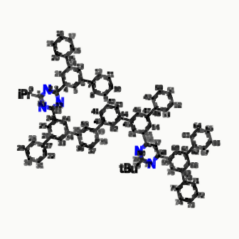 CC(C)c1nc(-c2cc(-c3ccccc3)cc(-c3ccccc3)c2)nc(-c2cc(-c3ccccc3)cc(-c3cccc(-c4cccc(-c5cc(-c6ccccc6)cc(-c6cc(-c7cc(-c8ccccc8)cc(-c8ccccc8)c7)nc(C(C)(C)C)n6)c5)c4)c3)c2)n1